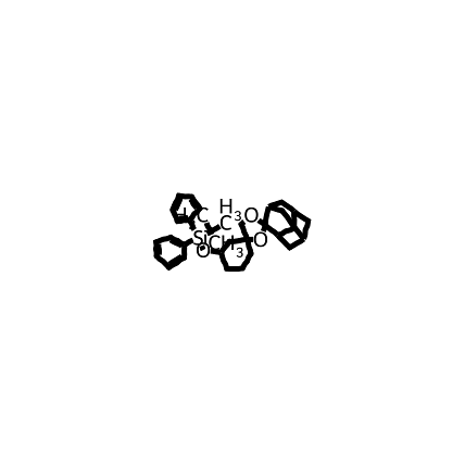 CC(C)(C)[Si](OC1CCCC2(COC3(O2)C2CC4CC(C2)CC3C4)C1)(c1ccccc1)c1ccccc1